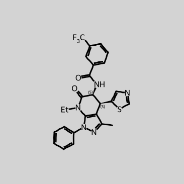 CCN1C(=O)[C@@H](NC(=O)c2cccc(C(F)(F)F)c2)[C@@H](c2cncs2)c2c(C)nn(-c3ccccc3)c21